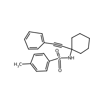 Cc1ccc(S(=O)(=O)NC2(C#Cc3ccccc3)CCCCC2)cc1